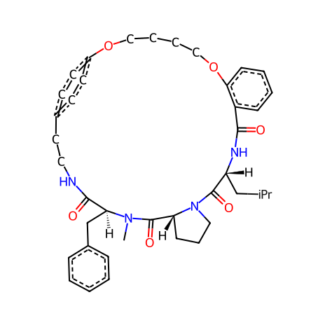 CC(C)C[C@H]1NC(=O)c2ccccc2OCCCCOc2ccc(cc2)CCNC(=O)[C@H](Cc2ccccc2)N(C)C(=O)[C@H]2CCCN2C1=O